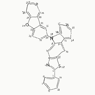 c1ccc(-c2nc3cc4c(cc3s2)c2ccccc2n4-c2ccc3oc4ccccc4c3c2)cc1